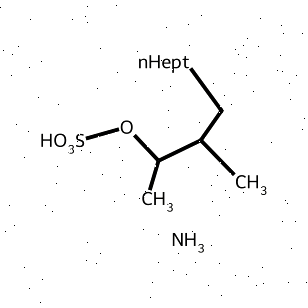 CCCCCCCCC(C)C(C)OS(=O)(=O)O.N